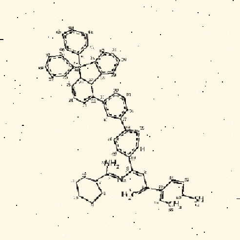 C=C(/C=C(\N=C(/N)C1CCCCC1)c1ccc(-c2cccc(C3=CC=CC4C3c3ccccc3C4(c3ccccc3)c3ccccc3)c2)cc1)C(/C=C\CS)=C/C